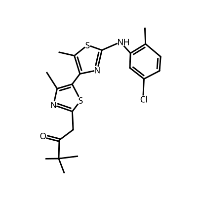 Cc1ccc(Cl)cc1Nc1nc(-c2sc(CC(=O)C(C)(C)C)nc2C)c(C)s1